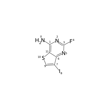 Nc1nc(F)nc2c(I)csc12